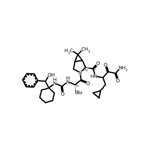 CC1(C)C2CN(C(=O)[C@@H](NC(=O)NC3(C(O)c4ccccc4)CCCCC3)C(C)(C)C)[C@H](C(=O)NC(CC3CC3)C(=O)C(N)=O)C21